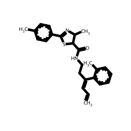 C=C/C=C(/CCNC(=O)C1SC(c2ccc(C)cc2)=NC1C)c1ccccc1C